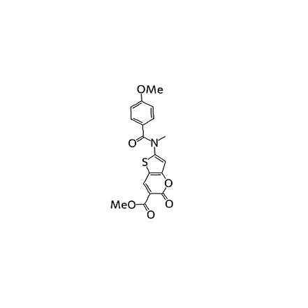 COC(=O)c1cc2sc(N(C)C(=O)c3ccc(OC)cc3)cc2oc1=O